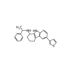 CC(NC1CCCc2c1[nH]c1ccc(-c3ccsc3)cc21)c1ccccc1